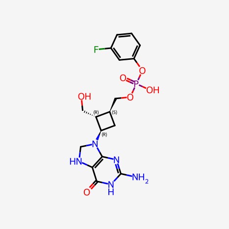 Nc1nc2c(c(=O)[nH]1)NCN2[C@@H]1C[C@H](COP(=O)(O)Oc2cccc(F)c2)[C@H]1CO